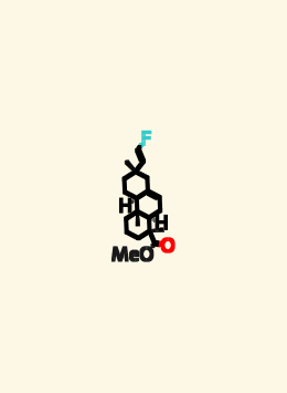 COC(=O)[C@]1(C)CCC[C@@]2(C)[C@H]1CC=C1C[C@@](C)(/C=C/F)CC[C@@H]12